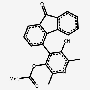 COC(=O)Oc1c(C)nc(C)c(C#N)c1-c1cccc2c1-c1ccccc1C2=O